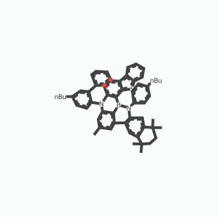 CCCCc1ccc(N2B3c4c(cc(C)cc4N(c4ccc(CCCC)cc4-c4ccccc4)c4ccc5c(sc6ccccc65)c43)-c3cc4c(cc32)C(C)(C)CCC4(C)C)cc1